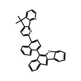 CC1(C)c2cccnc2-c2nc(-c3ccc(-c4c5ccccc5cc5c4oc4ccccc45)c4ccccc34)ccc21